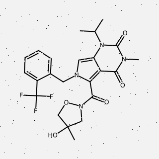 CC(C)n1c(=O)n(C)c(=O)c2c(C(=O)N3CC(C)(O)CO3)n(Cc3ccccc3C(F)(F)F)cc21